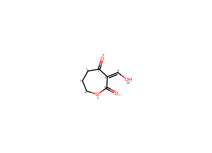 O=C1CCCOC(=O)/C1=C\O